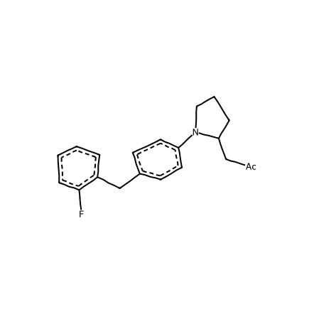 CC(=O)CC1CCCN1c1ccc(Cc2ccccc2F)cc1